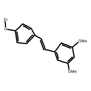 CCOc1ccc(C=Cc2cc(OC)cc(OC)c2)cc1